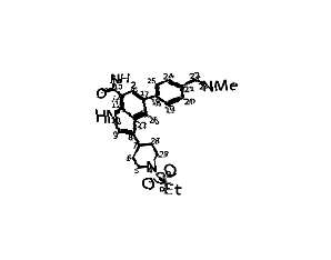 CCS(=O)(=O)N1CCC(c2c[nH]c3c(C(N)=O)cc(-c4ccc(CNC)cc4)cc23)CC1